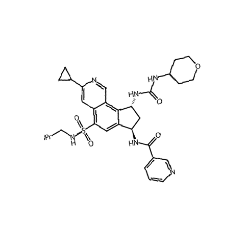 CC(C)CNS(=O)(=O)c1cc2c(c3cnc(C4CC4)cc13)[C@H](NC(=O)NC1CCOCC1)C[C@H]2NC(=O)c1cccnc1